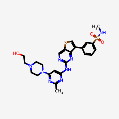 CNS(=O)(=O)c1cccc(-c2csc3cnc(Nc4cc(N5CCN(CCO)CC5)nc(C)n4)nc23)c1